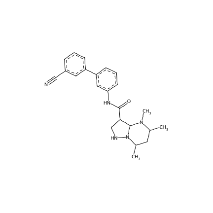 CC1CC(C)N2NCC(C(=O)Nc3cccc(-c4cccc(C#N)c4)c3)C2N1C